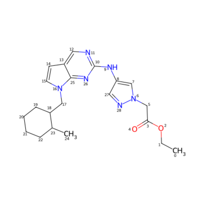 CCOC(=O)Cn1cc(Nc2ncc3ccn(CC4CCCCC4C)c3n2)cn1